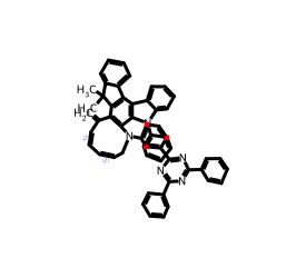 C=C1/C=C\C=C/CN(c2cccc(-c3nc(-c4ccccc4)nc(-c4ccccc4)n3)c2)c2c1c1c(c3c4ccccc4n(-c4ccccc4)c23)-c2ccccc2C1(C)C